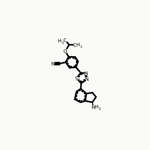 CC(C)Oc1ccc(-c2nnc(-c3cccc4c3CC[C@H]4N)s2)cc1C#N